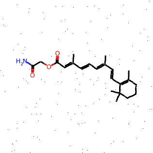 CC(C=CC1=C(C)CCCC1(C)C)=CC=C/C(C)=C/C(=O)OCC(N)=O